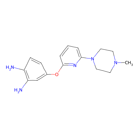 CN1CCN(c2cccc(Oc3ccc(N)c(N)c3)n2)CC1